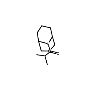 CC(C)C(=O)N1C2CCCC1COC2